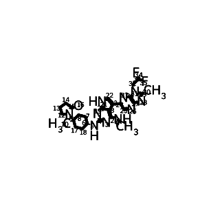 CNc1nc(N[C@H]2CC[C@](C)(N3CCCC3=O)CC2)nc2[nH]cc(-c3cnc4nc(C)n(CC(F)F)c4n3)c12